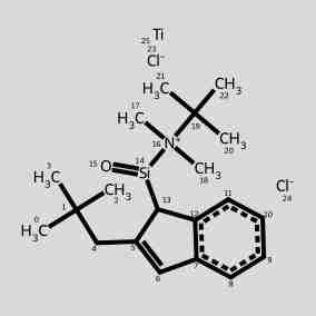 CC(C)(C)CC1=Cc2ccccc2C1[Si](=O)[N+](C)(C)C(C)(C)C.[Cl-].[Cl-].[Ti]